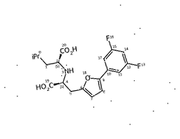 CC(C)C[C@H](N[C@@H](Cc1ccc(-c2cc(F)cc(F)c2)o1)C(=O)O)C(=O)O